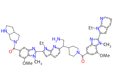 CCn1c(-c2nc3cc(C(=O)N4CCC(C(CN)c5ccc6cc(-c7nc8cc(C(=O)N9CCC%10CCNC%10C9)cc(OC)c8n7C)n(CC)c6n5)CC4)cc(OC)c3n2C)cc2cccnc21